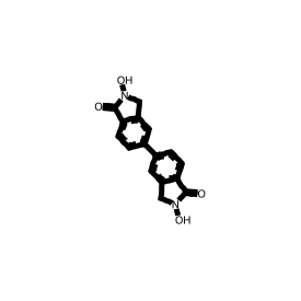 O=C1c2ccc(-c3ccc4c(c3)CN(O)C4=O)cc2CN1O